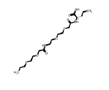 CCCOCCOCC(=O)NCCOCCOCC(=O)N[C@@H](CCC)C(=O)O